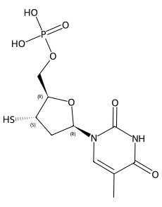 Cc1cn([C@H]2C[C@H](S)[C@@H](COP(=O)(O)O)O2)c(=O)[nH]c1=O